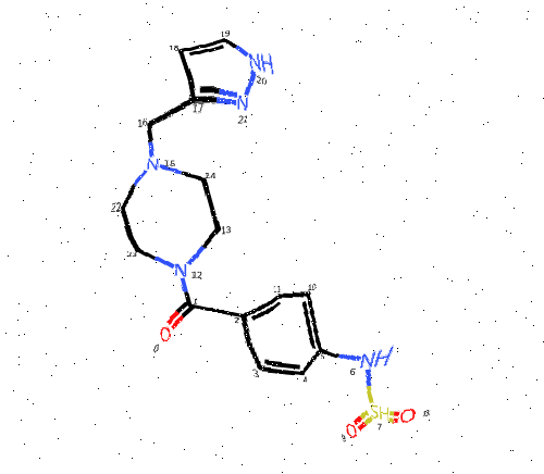 O=C(c1ccc(N[SH](=O)=O)cc1)N1CCN(Cc2cc[nH]n2)CC1